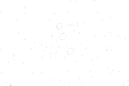 CC(C)c1cccc(CC(C)c2cc(CC(C)c3cccc(F)c3)ccc2F)c1